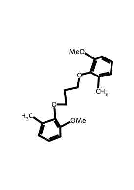 COc1cccc(C)c1OCCCOc1c(C)cccc1OC